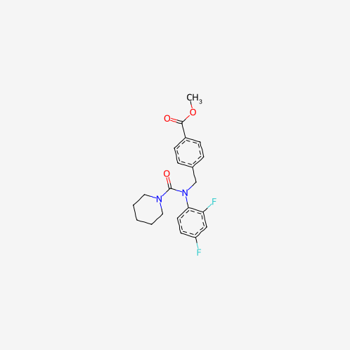 COC(=O)c1ccc(CN(C(=O)N2CCCCC2)c2ccc(F)cc2F)cc1